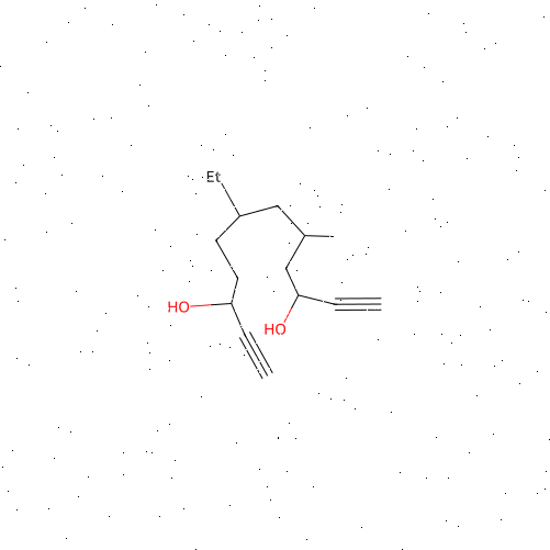 C#CC(O)CCC(CC)CC(C)CC(O)C#C